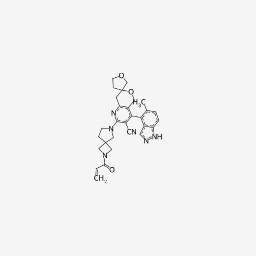 C=CC(=O)N1CC2(CCN(c3nc4c(c(-c5c(C)ccc6[nH]ncc56)c3C#N)COC3(CCOC3)C4)C2)C1